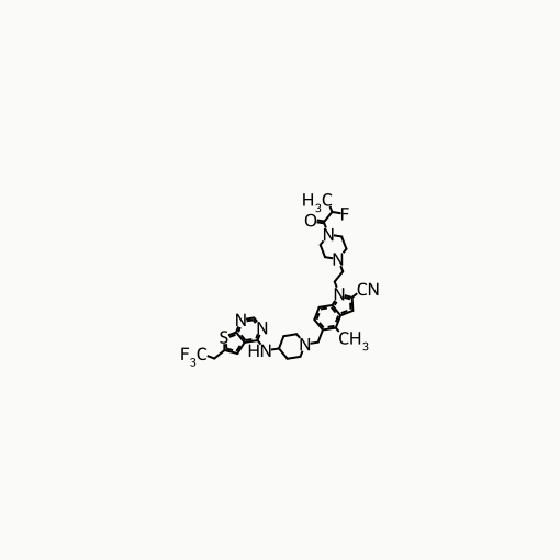 Cc1c(CN2CCC(Nc3ncnc4sc(CC(F)(F)F)cc34)CC2)ccc2c1cc(C#N)n2CCN1CCN(C(=O)C(C)F)CC1